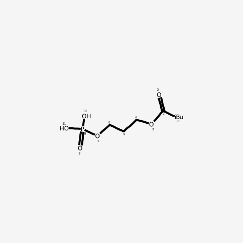 CCC(C)C(=O)OCCCOP(=O)(O)O